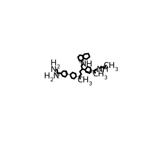 CCCNCC(C)[C@@H]1C=CC(C(CCC(C)[C@H]2CC[C@@H](C3=CCC([C@H](N)CN)CC3)CC2)CN[C@@H]2CCCC3=C2CCCC3)CC1